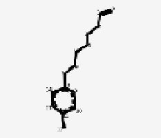 C=CCCCCCCc1ccc(C)cc1